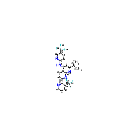 CC(C)c1cc(Nc2ccc(C(F)(F)F)cn2)c2ccc(-c3ncccc3C(F)(F)F)nc2n1